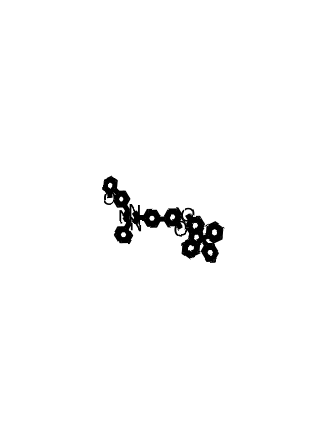 c1ccc(-c2nc(-c3ccc(-c4ccc5c(c4)Oc4c(ccc6c4-c4ccccc4C6(c4ccccc4)c4ccccc4)O5)cc3)nc(-c3ccc4c(c3)oc3ccccc34)n2)cc1